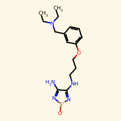 CCN(CC)Cc1cccc(OCCCNc2n[s+]([O-])nc2N)c1